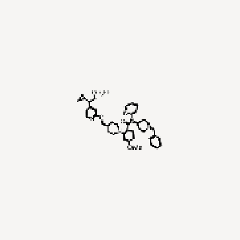 CCOC(=O)CC(c1ccnc(OCC2CCN(c3cc(OC)ccc3C(=O)N(c3ccccn3)C3CCN(Cc4ccccc4)CC3)CC2)c1)C1CC1